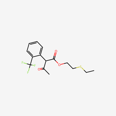 CCSCCOC(=O)C(C(C)=O)c1ccccc1C(F)(F)F